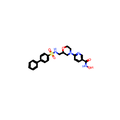 O=C(NO)c1ccc(N2CCOC(CNS(=O)(=O)c3ccc(-c4ccccc4)cc3)C2)nc1